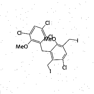 COc1c(Cl)cc(Cl)c(Cl)c1Cc1c(CI)c(Cl)cc(CI)c1OC